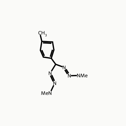 CNN=NC(N=NNC)c1ccc(C)cc1